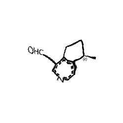 C[C@@H]1CCc2c(C=O)cncc21